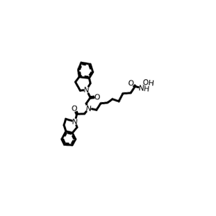 O=C(CCCCCCCN(CC(=O)N1CCc2ccccc2C1)CC(=O)N1CCc2ccccc2C1)NO